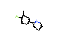 Cc1cc(-c2[c]cccn2)ccc1F